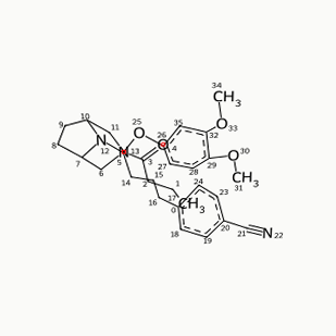 CCCC(=O)N1CC2CCC(C1)N2C(CCCc1ccc(C#N)cc1)Oc1ccc(OC)c(OC)c1